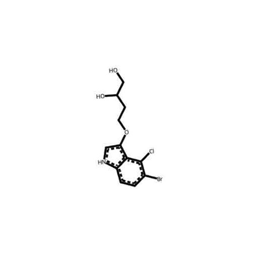 OCC(O)CCOc1c[nH]c2ccc(Br)c(Cl)c12